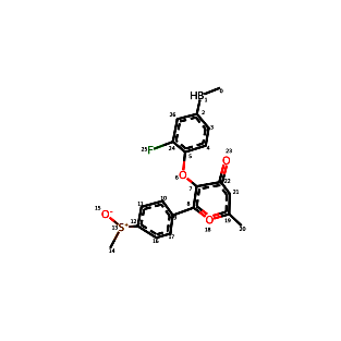 CBc1ccc(Oc2c(-c3ccc([S+](C)[O-])cc3)oc(C)cc2=O)c(F)c1